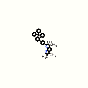 Cc1cnc2c(ccc3c(C)c(C)c(-c4ccc(-c5cccc6c5-c5ccccc5C6(c5ccccc5)c5ccccc5)cc4)nc32)c1C